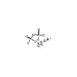 N.N.O=P([O-])([O-])OP(=O)([O-])[O-].[Zn+2].[Zn+2]